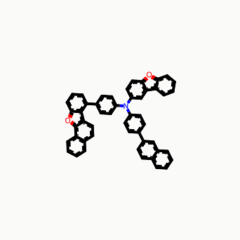 c1ccc2cc(-c3ccc(N(c4ccc(-c5cccc6oc7c8ccccc8ccc7c56)cc4)c4ccc5oc6ccccc6c5c4)cc3)ccc2c1